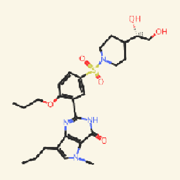 CCCOc1ccc(S(=O)(=O)N2CCC([C@H](O)CO)CC2)cc1-c1nc2c(CCC)cn(C)c2c(=O)[nH]1